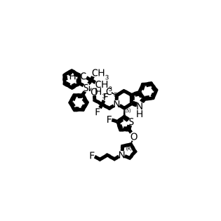 C[C@@H]1Cc2c([nH]c3ccccc23)[C@@H](c2sc(O[C@@H]3CCN(CCCF)C3)cc2F)N1CC(F)(F)CO[Si](c1ccccc1)(c1ccccc1)C(C)(C)C